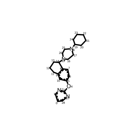 c1cnc(Oc2ccc3c(c2)CCCC3N2CCN(C3CCCCC3)CC2)nc1